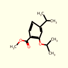 COC(=O)c1ccc(C(C)C)cc1OC(C)C